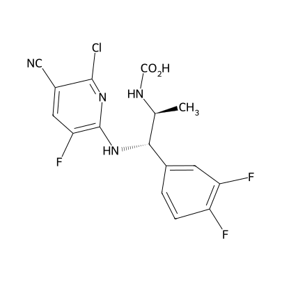 C[C@H](NC(=O)O)[C@@H](Nc1nc(Cl)c(C#N)cc1F)c1ccc(F)c(F)c1